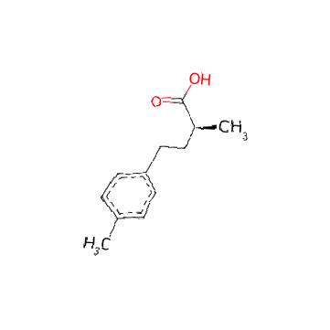 Cc1ccc(CC[C@H](C)C(=O)O)cc1